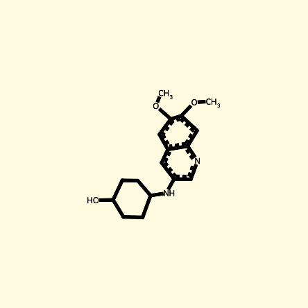 COc1cc2cc(NC3CCC(O)CC3)cnc2cc1OC